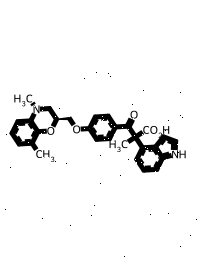 Cc1cccc2c1O[C@H](COc1ccc(C(=O)C(C)(C(=O)O)c3cccc4[nH]ccc34)cc1)CN2C